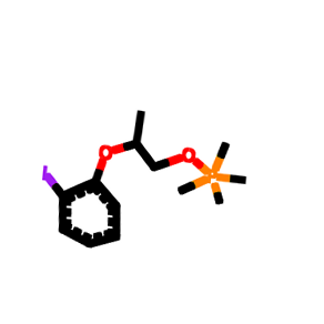 CC(COP(C)(C)(C)C)Oc1ccccc1I